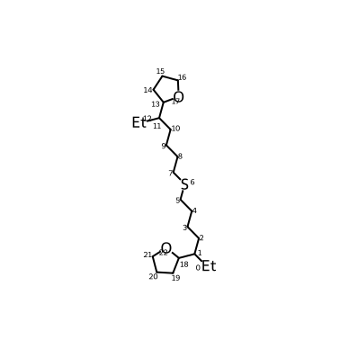 CCC(CCCCSCCCCC(CC)C1CCCO1)C1CCCO1